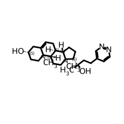 CC(O)(CCc1ccnnc1)[C@H]1CC[C@H]2[C@@H]3CC=C4C[C@@H](O)CC[C@]4(C)[C@H]3CC[C@]12C